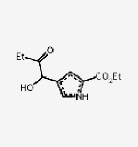 CCOC(=O)c1cc(C(O)C(=O)CC)c[nH]1